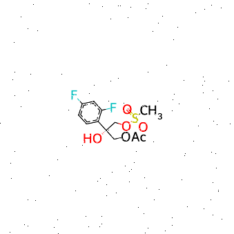 CC(=O)OC[C@](O)(COS(C)(=O)=O)c1ccc(F)cc1F